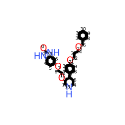 O=c1[nH]c2ccc(OCCOC3CNCCC3c3ccc(OCCCOCc4ccccc4)cc3)cc2[nH]1